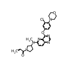 C=CC(=O)N1CCC(N(C)c2ccc3ncnc(Oc4ccc(N5CCOCC5)c(Cl)c4)c3n2)C1